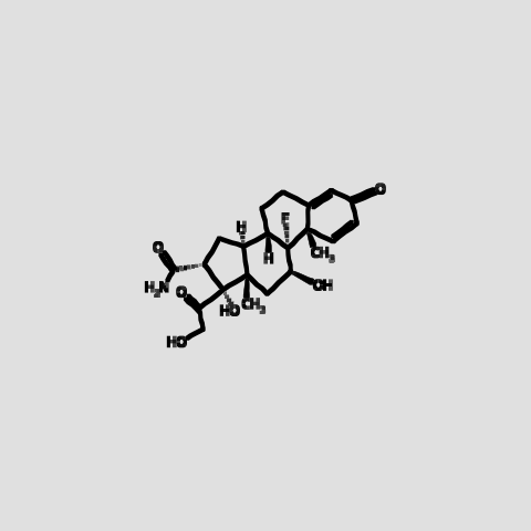 C[C@]12C=CC(=O)C=C1CC[C@H]1[C@@H]3C[C@@H](C(N)=O)[C@](O)(C(=O)CO)[C@@]3(C)C[C@H](O)[C@@]12F